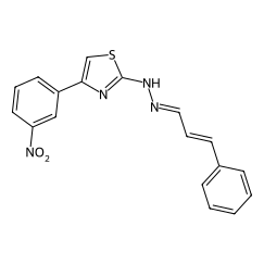 O=[N+]([O-])c1cccc(-c2csc(N/N=C/C=C/c3ccccc3)n2)c1